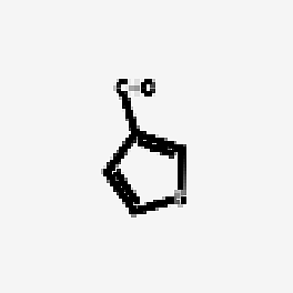 O=[C]c1ccsc1